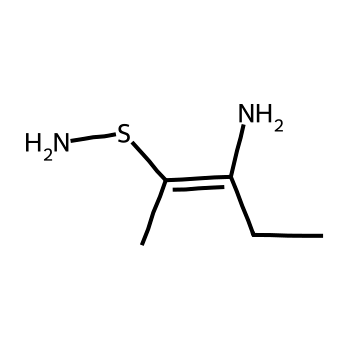 CC/C(N)=C(\C)SN